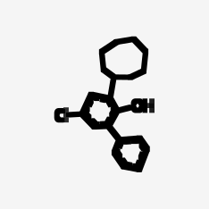 Oc1c(-c2ccccc2)cc(Cl)cc1C1CCCCCCC1